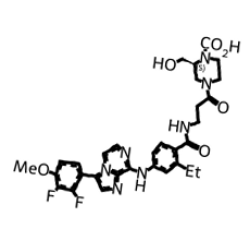 CCc1cc(Nc2nccn3c(-c4ccc(OC)c(F)c4F)cnc23)ccc1C(=O)NCCC(=O)N1CCN(C(=O)O)[C@H](CO)C1